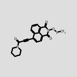 O=C(C#Cc1ccc2c3c(cccc13)C(=O)N(OSC(F)(F)F)C2=O)N1CCCCC1